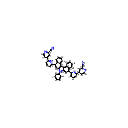 N#Cc1cc(-c2cccc(-c3cc4c(c5ccccc35)c3c5ccccc5c(-c5cccc(-c6ccnc(C#N)c6)n5)cc3n4-c3ccccc3)n2)ccn1